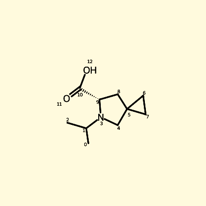 CC(C)N1CC2(CC2)C[C@H]1C(=O)O